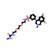 CNC(=O)NCCOCCOCCNS(=O)(=O)c1cccc([C@@H]2CN(C)Cc3c(Cl)cc(Cl)cc32)c1